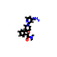 CN(C)C(=O)C1OC2(CCN(c3cc(N)ccn3)CC2)c2ccccc21